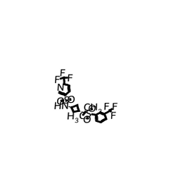 CC(C)([C@H]1C[C@@H](NS(=O)(=O)c2ccc(C(F)(F)F)nc2)C1)S(=O)(=O)c1cccc(C(F)(F)F)c1